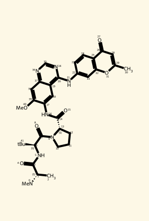 CN[C@@H](C)C(=O)N[C@H](C(=O)N1CCC[C@H]1C(=O)Nc1cc2c(Nc3ccc4c(=O)cc(C)oc4c3)ncnc2cc1OC)C(C)(C)C